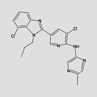 CCCn1c(-c2cnc(Nc3cnc(C)cn3)c(Cl)c2)nc2cccc(Cl)c21